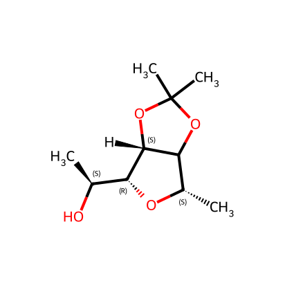 C[C@@H]1O[C@H]([C@H](C)O)[C@@H]2OC(C)(C)OC12